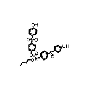 CCCCOP(=O)(Oc1ccc(S(=O)(=O)c2ccc(O)cc2)cc1)Oc1ccc(S(=O)(=O)c2ccc(O)cc2)cc1